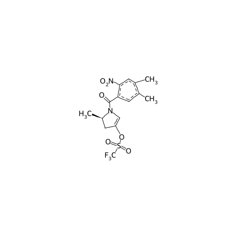 Cc1cc(C(=O)N2C=C(OS(=O)(=O)C(F)(F)F)C[C@H]2C)c([N+](=O)[O-])cc1C